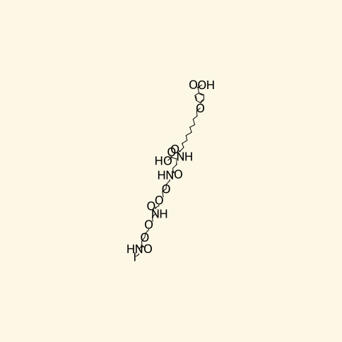 O=C(CC[C@H](NC(=O)CCCCCCCCCCOc1ccc(C(=O)O)cc1)C(=O)O)NCCOCCOCC(=O)NCCOCCOCC(=O)NCI